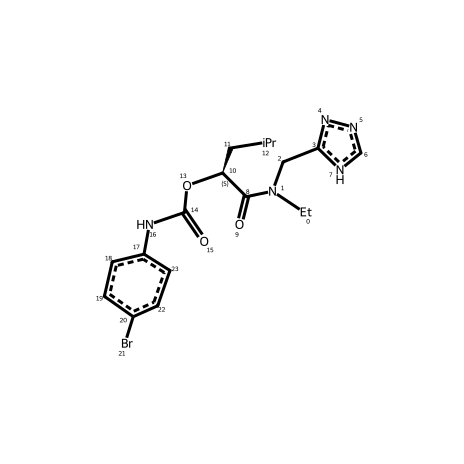 CCN(Cc1nnc[nH]1)C(=O)[C@H](CC(C)C)OC(=O)Nc1ccc(Br)cc1